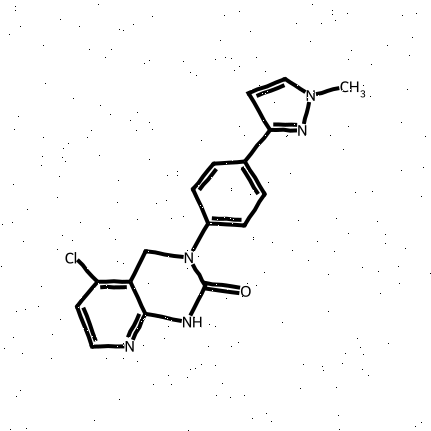 Cn1ccc(-c2ccc(N3Cc4c(Cl)ccnc4NC3=O)cc2)n1